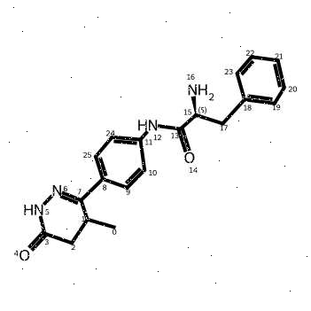 CC1CC(=O)NN=C1c1ccc(NC(=O)[C@@H](N)Cc2ccccc2)cc1